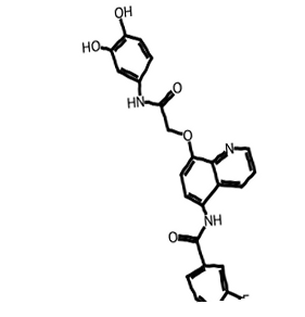 O=C(COc1ccc(NC(=O)c2cccc(F)c2)c2cccnc12)Nc1ccc(O)c(O)c1